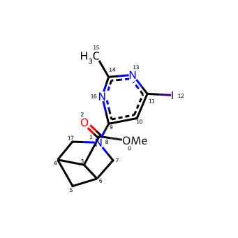 COC(=O)C1C2CC1CN(c1cc(I)nc(C)n1)C2